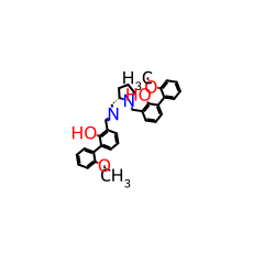 COc1ccccc1-c1cccc(/C=N/C[C@@H]2CCCN2Cc2cccc(-c3ccccc3OC)c2O)c1O